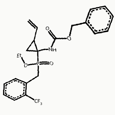 C=CC1CC1(NC(=O)OCc1ccccc1)P(=O)(Cc1ccccc1C(F)(F)F)OCC